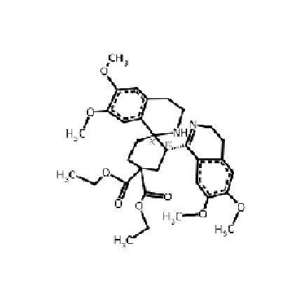 CCOC(=O)C1(C(=O)OCC)CC[C@@]2(NCCc3cc(OC)c(OC)cc32)[C@H](C2=NCCc3cc(OC)c(OC)cc32)C1